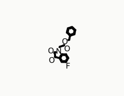 O=C(CN1C(=O)C(=O)c2cc(F)ccc21)OCc1ccccc1